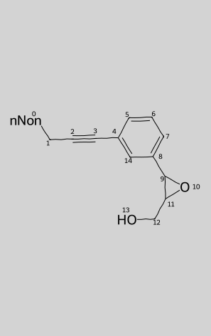 CCCCCCCCCCC#Cc1cccc(C2OC2CO)c1